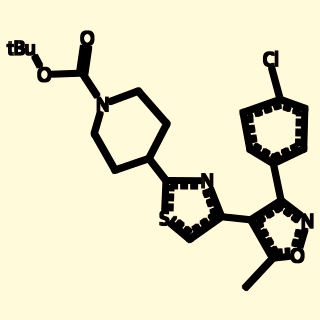 Cc1onc(-c2ccc(Cl)cc2)c1-c1csc(C2CCN(C(=O)OC(C)(C)C)CC2)n1